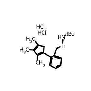 CC1=C(C)C(C)=C(c2ccccc2[CH2][Ti][NH]C(C)(C)C)C1.Cl.Cl